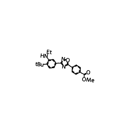 CCNc1cc(-c2noc(-c3ccc(C(=O)OC)cc3)n2)ccc1C(C)(C)C